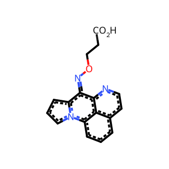 O=C(O)CCON=c1c2nccc3cccc(c32)n2cccc12